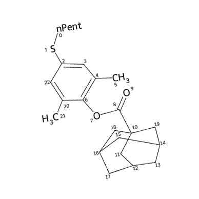 CCCCCSc1cc(C)c(OC(=O)C23CC4CC(CC(C4)C2)C3)c(C)c1